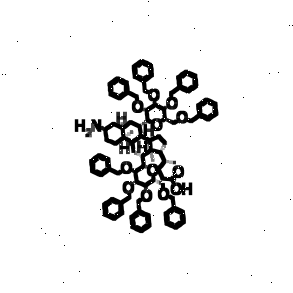 C[C@H](CCC(=O)O)[C@H]1CC[C@H]2[C@@H]3[C@@H](C4O[C@H](COCc5ccccc5)[C@@H](OCc5ccccc5)[C@H](OCc5ccccc5)[C@H]4OCc4ccccc4)C[C@@H]4C[C@H](N)CC[C@]4(C)[C@H]3C[C@@H]([C@@H]3O[C@H](COCc4ccccc4)[C@@H](OCc4ccccc4)[C@H](OCc4ccccc4)[C@H]3OCc3ccccc3)[C@]12C